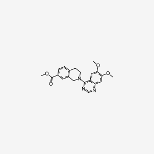 COC(=O)c1ccc2c(c1)CN(c1ncnc3cc(OC)c(OC)cc13)CC2